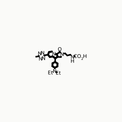 CCN(CC)c1ccc(-c2c3c(n4ccc(-c5nnc(C)nn5)cc24)C(=O)N(CCCNC(=O)O)C3)cc1